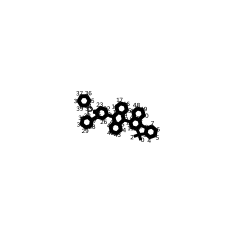 CC1(C)c2ccccc2-c2c1cc(-c1c3ccccc3c(-c3ccc4c(c3)c3ccccc3p4-c3ccccc3)c3ccccc13)c1ccccc21